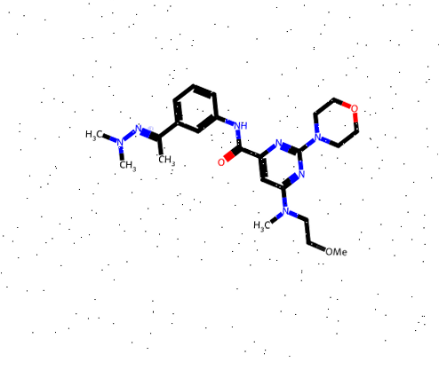 COCCN(C)c1cc(C(=O)Nc2cccc(/C(C)=N/N(C)C)c2)nc(N2CCOCC2)n1